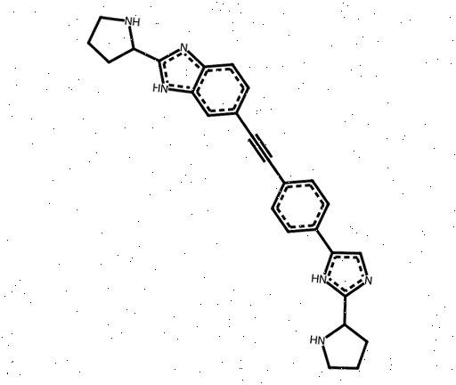 C(#Cc1ccc2nc(C3CCCN3)[nH]c2c1)c1ccc(-c2cnc(C3CCCN3)[nH]2)cc1